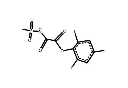 CS(=O)(=O)NC(=O)C(=O)Oc1c(I)cc(I)cc1I